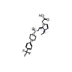 C/C=c1/ccn(CC(=O)O)/c1=C/C[S+]([O-])N1CCN(c2ccc(C(F)(F)F)cc2)CC1